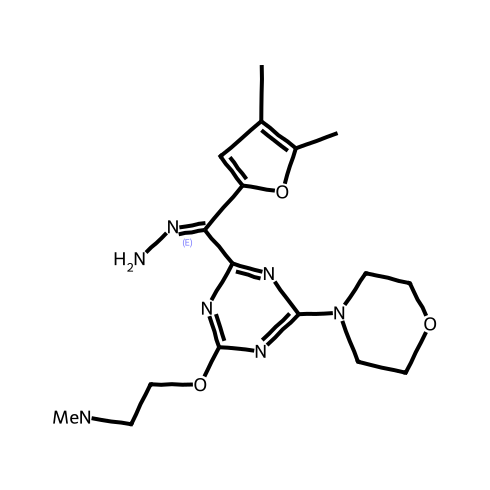 CNCCOc1nc(/C(=N\N)c2cc(C)c(C)o2)nc(N2CCOCC2)n1